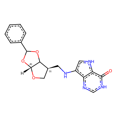 O=c1[nH]cnc2c(NC[C@H]3CO[C@@H]4OC(c5ccccc5)OC34)c[nH]c12